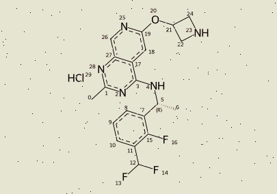 Cc1nc(N[C@H](C)c2cccc(C(F)F)c2F)c2cc(OC3CNC3)ncc2n1.Cl